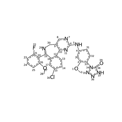 COc1cc(Nc2ncc3c(n2)-c2ccc(Cl)cc2C(c2c(F)cccc2OC)=NC3)ccc1-n1nn[nH]c1=O